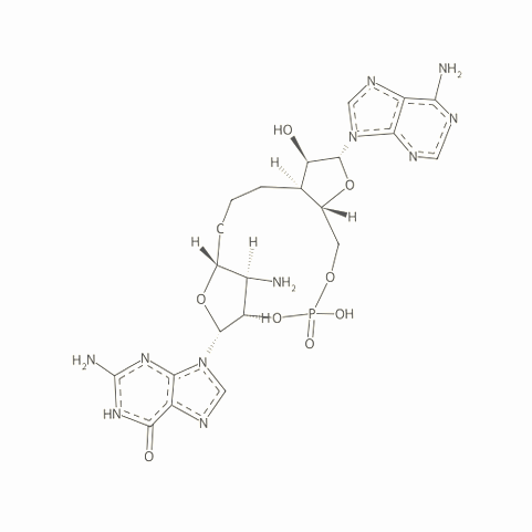 Nc1nc2c(ncn2[C@@H]2O[C@@H]3CCC[C@H]4[C@@H](O)[C@H](n5cnc6c(N)ncnc65)O[C@@H]4COP(=O)(O)O[C@@H]2[C@@H]3N)c(=O)[nH]1